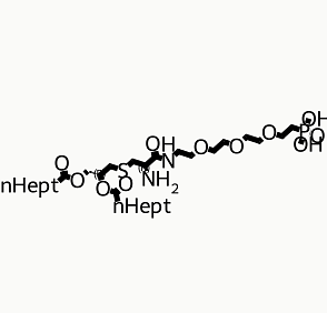 CCCCCCCC(=O)OC[C@H](CSC[C@H](N)C(=O)NCCOCCOCCOCCP(=O)(O)O)OC(=O)CCCCCCC